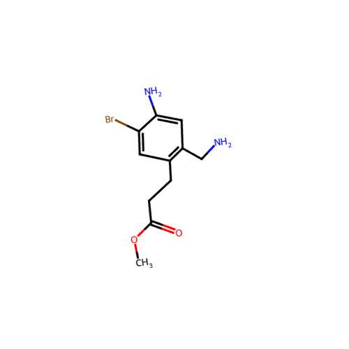 COC(=O)CCc1cc(Br)c(N)cc1CN